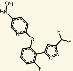 ONc1ccc(Oc2cccc(F)c2-c2cc(C(F)F)no2)nc1